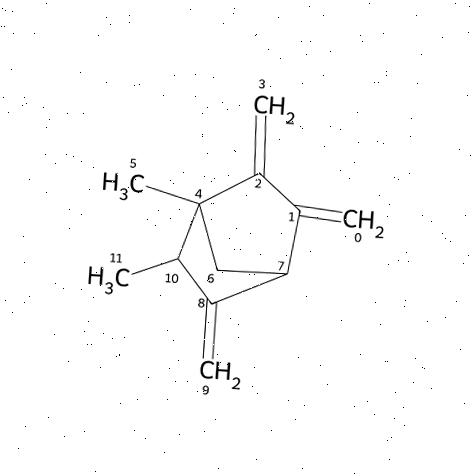 C=C1C(=C)C2(C)CC1C(=C)C2C